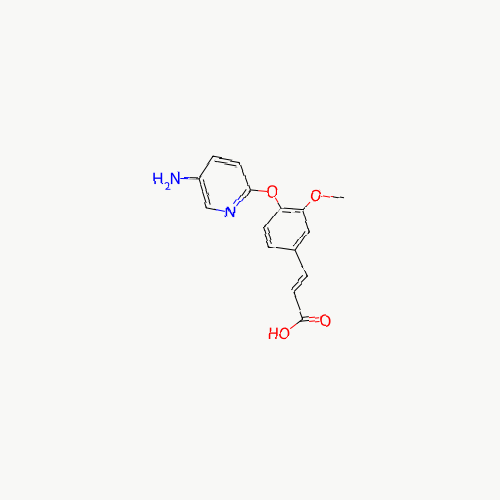 COc1cc(C=CC(=O)O)ccc1Oc1ccc(N)cn1